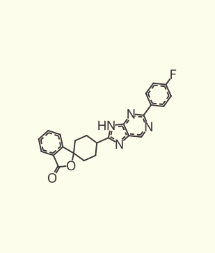 O=C1OC2(CCC(c3nc4cnc(-c5ccc(F)cc5)nc4[nH]3)CC2)c2ccccc21